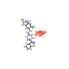 CS(=O)(=O)O.O.O.O.O=C1Cc2cc(CCN3CCN(c4nsc5ccccc45)CC3)c(Cl)cc2N1